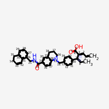 C=C/C=C(C(=O)O)\C(=C/C)c1ccc(CN2CCCc3cc(C(=O)NCc4cccc5c4C=CCC5)ccc32)cc1